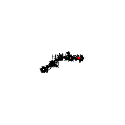 COc1cc(OCc2ccccn2)ccc1C=Cc1cc(C=Cc2ccc(OCc3ccccn3)cc2OC)[nH]n1